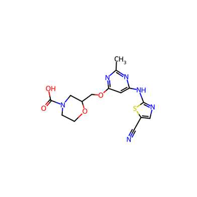 Cc1nc(Nc2ncc(C#N)s2)cc(OCC2CN(C(=O)O)CCO2)n1